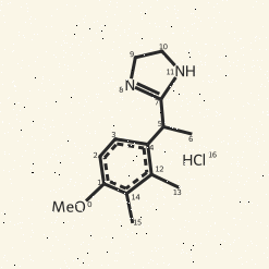 COc1ccc(C(C)C2=NCCN2)c(C)c1C.Cl